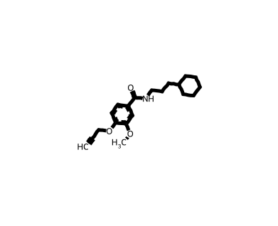 C#CCOc1ccc(C(=O)NCCCC2CCCCC2)cc1OC